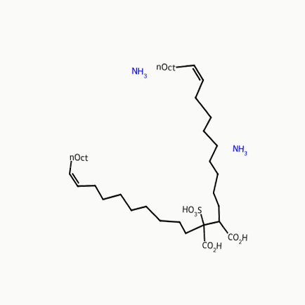 CCCCCCCC/C=C\CCCCCCCCC(C(=O)O)C(CCCCCCCC/C=C\CCCCCCCC)(C(=O)O)S(=O)(=O)O.N.N